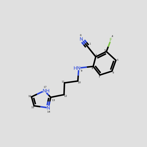 N#Cc1c(F)cccc1NCCCc1ncc[nH]1